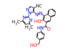 [C-]#[N+]c1cnn(-c2nc(C)cc(C)n2)c1/N=N/c1c(O)c(C(=O)Nc2ccc(CO)cc2)cc2ccccc12